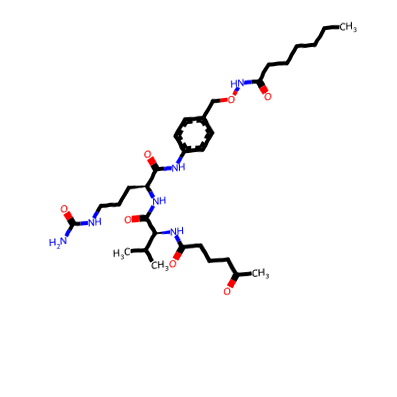 CCCCCCC(=O)NOCc1ccc(NC(=O)[C@H](CCCNC(N)=O)NC(=O)[C@@H](NC(=O)CCCC(C)=O)C(C)C)cc1